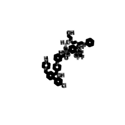 CN(CCO)CC[C@H](CSc1ccccc1)Nc1ccc(S(=O)(=O)NC(=O)c2cccc(N3CCC([C@H](O)c4cc(CN5CCNCC5)ccc4-c4ccc(Cl)cc4)CC3)c2)cc1S(=O)(=O)C(F)(F)F